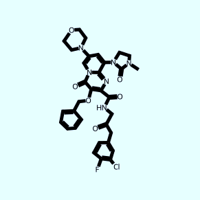 CN1CCN(c2cc(N3CCOCC3)cn3c(=O)c(OCc4ccccc4)c(C(=O)NCC(=O)Cc4ccc(F)c(Cl)c4)nc23)C1=O